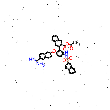 N=C(N)c1ccc2cc(Oc3ccc(NS(=O)(=O)c4ccc5ccccc5c4)cc3-c3cc4ccccc4cc3C(=O)OC(=O)C(F)(F)F)ccc2c1